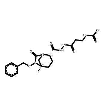 O=C(O)NCCC(=O)NNC(=O)[C@@H]1CC[C@@H]2CN1C(=O)N2OCc1ccccc1